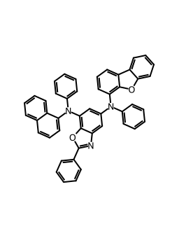 c1ccc(-c2nc3cc(N(c4ccccc4)c4cccc5c4oc4ccccc45)cc(N(c4ccccc4)c4cccc5ccccc45)c3o2)cc1